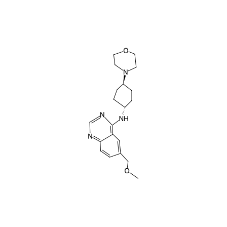 COCc1ccc2ncnc(N[C@H]3CC[C@H](N4CCOCC4)CC3)c2c1